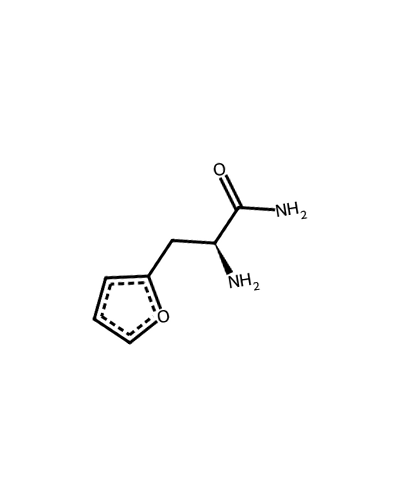 NC(=O)[C@@H](N)Cc1ccco1